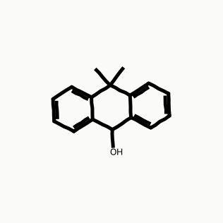 CC1(C)c2ccccc2C(O)c2ccccc21